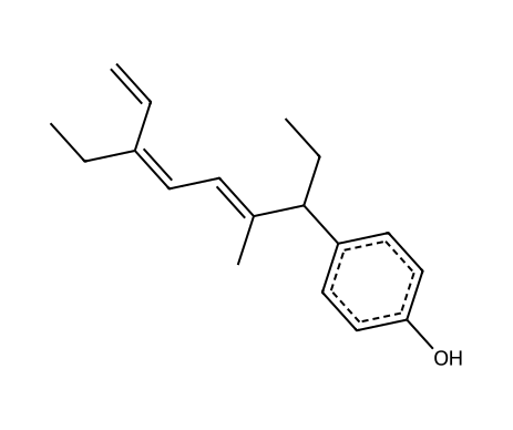 C=C/C(=C\C=C(/C)C(CC)c1ccc(O)cc1)CC